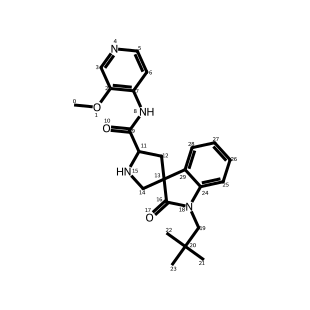 COc1cnccc1NC(=O)C1CC2(CN1)C(=O)N(CC(C)(C)C)c1ccccc12